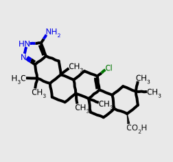 CC1(C)CC2C3=C(Cl)CC4C5(C)Cc6c(n[nH]c6N)C(C)(C)C5CCC4(C)C3(C)CCC2[C@H](C(=O)O)C1